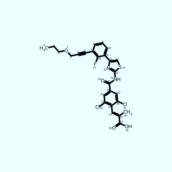 CCCOCC#Cc1cccc(-c2csc(NC(=O)c3cc(Cl)c(C=C(C)C(=O)O)c(Cl)c3)n2)c1F